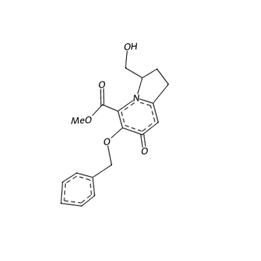 COC(=O)c1c(OCc2ccccc2)c(=O)cc2n1C(CO)CC2